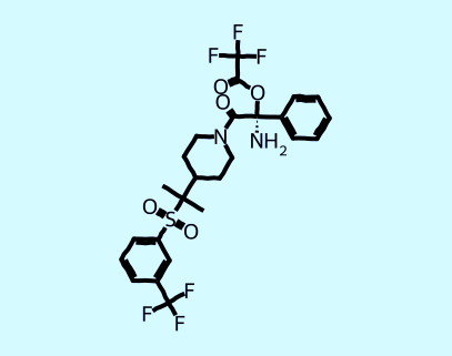 CC(C)(C1CCN(C(=O)[C@@](N)(OC(=O)C(F)(F)F)c2ccccc2)CC1)S(=O)(=O)c1cccc(C(F)(F)F)c1